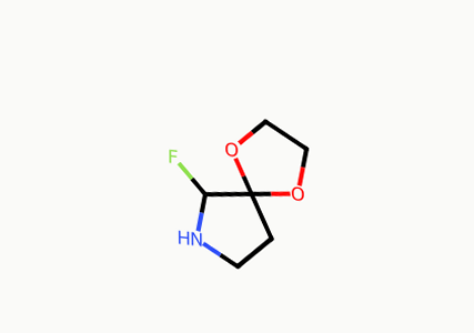 FC1NCCC12OCCO2